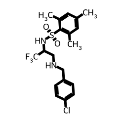 Cc1cc(C)c(S(=O)(=O)NC(CNCc2ccc(Cl)cc2)C(F)(F)F)c(C)c1